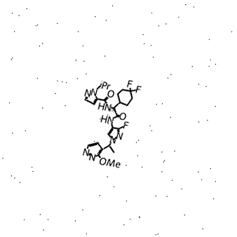 COc1nnccc1C(C)n1cc(NC(=O)[C@@H](NC(=O)c2ccnn2C(C)C)C2CCC(F)(F)CC2)c(F)n1